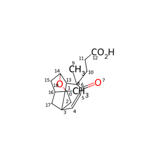 CC12CC34C=CC(=O)C(C)(CCC(=O)O)C3C(CC1C4)O2